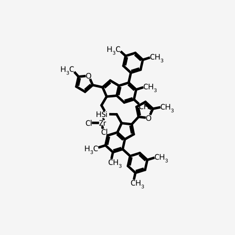 Cc1cc(C)cc(-c2c(C)c(C)cc3c2C=C(c2ccc(C)o2)C3C[SiH](CC2C(c3ccc(C)o3)=Cc3c2cc(C)c(C)c3-c2cc(C)cc(C)c2)[Zr]([Cl])[Cl])c1